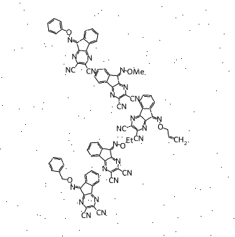 C=CCON=C1c2ccccc2-c2nc(C#N)c(C#N)nc21.CCON=C1c2ccccc2-c2nc(C#N)c(C#N)nc21.CON=C1c2ccccc2-c2nc(C#N)c(C#N)nc21.N#Cc1nc2c(nc1C#N)-c1ccccc1C2=NOCc1ccccc1.N#Cc1nc2c(nc1C#N)-c1ccccc1C2=NOc1ccccc1